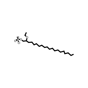 CCCCCCCCCCCCCCCCCCC(COP(=O)(Cl)Cl)OCC